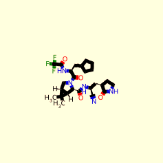 CC1(C)[C@@H]2[C@@H](C(=O)N[C@H](C#N)C[C@@H]3CCNC3=O)N(C(=O)[C@H](CC3CCCC3)NC(=O)C(F)(F)F)C[C@@H]21